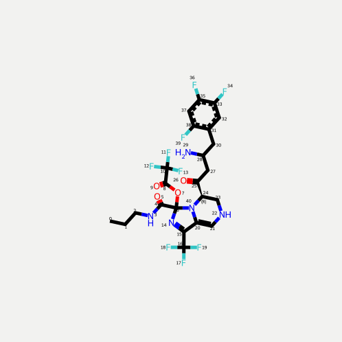 CCCNC(=O)C1(OC(=O)C(F)(F)F)N=C(C(F)(F)F)C2=CNC[C@H](C(=O)CC(N)Cc3cc(F)c(F)cc3F)N21